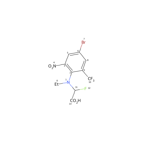 CCN(c1c([N+](=O)[O-])cc(Br)cc1C(F)(F)F)C(F)C(=O)O